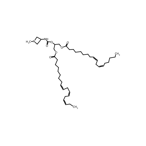 CC/C=C\C/C=C\C/C=C\CCCCCCCC(=O)OCC(COC(=O)CCCCCCC/C=C\C/C=C\CCCCC)OC(=O)NC1CN(C)C1